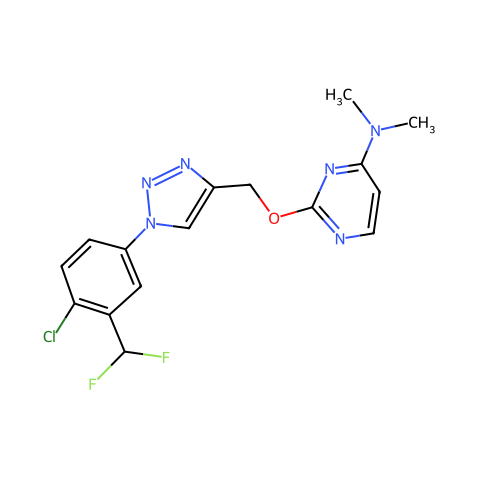 CN(C)c1ccnc(OCc2cn(-c3ccc(Cl)c(C(F)F)c3)nn2)n1